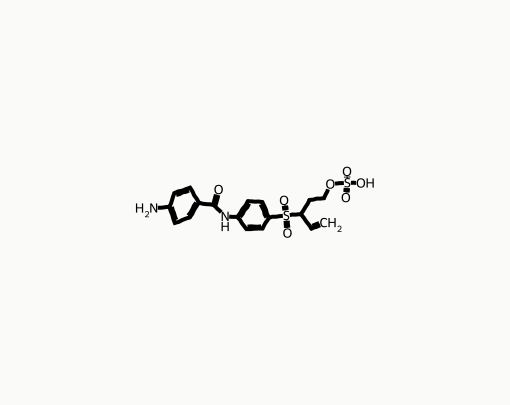 C=CC(CCOS(=O)(=O)O)S(=O)(=O)c1ccc(NC(=O)c2ccc(N)cc2)cc1